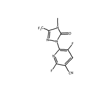 Cn1c(C(F)(F)F)nn(-c2nc(F)c(C#N)cc2F)c1=O